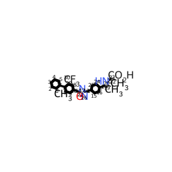 Cc1ccccc1-c1ccc(-c2nc(-c3ccc([C@@H](C)N[C@@H](C)C(=O)O)cc3)no2)cc1C(F)(F)F